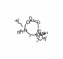 CCCN1C[C@H](C)C[C@@](C)(OC)[C@H](O[C@@H]2O[C@H](C)C[C@H](N(C)C)[C@H]2O)[C@@H](C)C(=O)C(C)(C)C(=O)OC[C@H]1CCCN(C)C